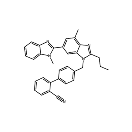 CCCc1nc2c(C)cc(-c3nc4ccccc4n3C)cc2n1Cc1ccc(-c2ccccc2C#N)cc1